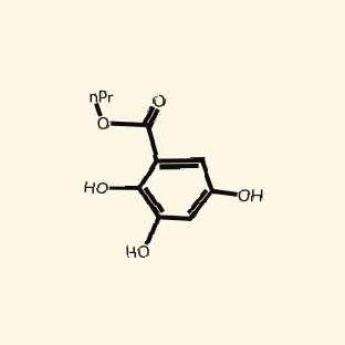 CCCOC(=O)c1cc(O)cc(O)c1O